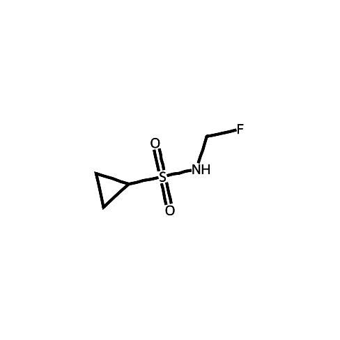 O=S(=O)(NCF)C1CC1